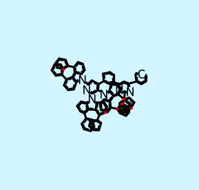 c1ccc(-c2cc(-c3cccc(-c4cc(-n5c6cccc(-c7ccccc7)c6c6c(-c7ccccc7)cccc65)nc(-n5c6cccc(-c7ccccc7)c6c6c(-c7ccccc7)cccc65)c4-n4c5cccc(-c6ccccc6)c5c5c(-c6ccccc6)cccc54)c3)nc(-c3ccccc3)n2)cc1